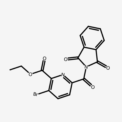 CCOC(=O)c1nc(C(=O)N2C(=O)c3ccccc3C2=O)ccc1Br